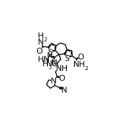 C[C@H](CC1(c2nn[nH]n2)c2sc(C(N)=O)cc2CCc2cc(C(N)=O)sc21)NCC(=O)N1CCCC1C#N